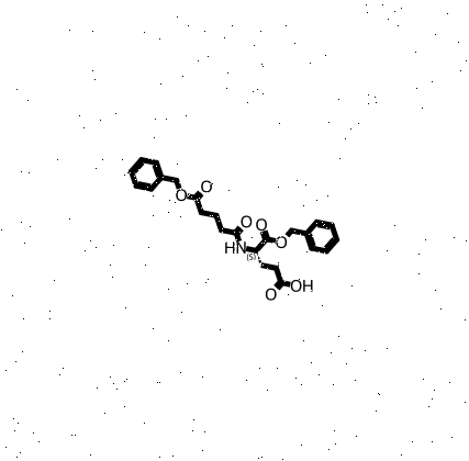 O=C(O)CC[C@H](NC(=O)CCCC(=O)OCc1ccccc1)C(=O)OCc1ccccc1